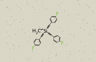 C=C[Si](C#Cc1ccc(F)cc1)(C#Cc1ccc(F)cc1)C#Cc1ccc(F)cc1